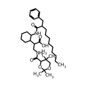 CCCCCCCCCC(Cc1ccccc1)C(=O)NC1CCCCC1C(CNC(=O)C1OC(C)(C)OCC1(C)C)C(=O)O